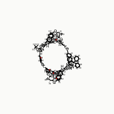 C[C@@H](C(=O)N[C@H](C(=O)N1C[C@H]2C/C=C/COc3ccc(cc3)C[C@@H](c3nnnn3C(c3ccccc3)(c3ccccc3)c3ccccc3)NC(=O)[C@H](Cc3ccc4ccccc4c3)NC(=O)[C@@H]3C[C@@H](CN3C(=O)[C@@H](NC(=O)[C@H](C)N(C)C(=O)OC(C)(C)C)C(C)(C)C)n3cc(nn3)COc3ccc(cc3)C[C@@H](C(=O)OC(C)(C)C)NC(=O)[C@H](Cc3ccc4ccccc4c3)NC(=O)[C@@H]1C2)C(C)(C)C)N(C)C(=O)OC(C)(C)C